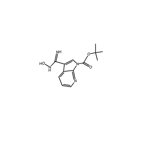 CC(C)(C)OC(=O)n1cc(C(=N)NO)c2cccnc21